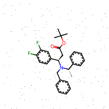 C[C@@H](c1ccccc1)N(Cc1ccccc1)[C@H](CC(=O)OC(C)(C)C)c1ccc(F)c(F)c1